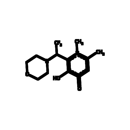 Cc1cc(=O)c(O)c(C(N2CCOCC2)C(F)(F)F)n1C